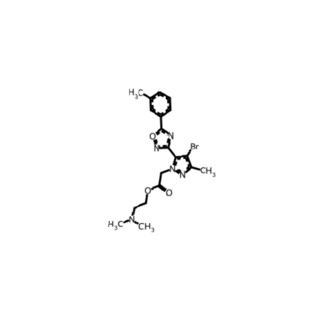 Cc1cccc(-c2nc(-c3c(Br)c(C)nn3CC(=O)OCCN(C)C)no2)c1